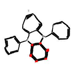 [Ti].c1ccc(P(c2ccccc2)c2ccccc2P(c2ccccc2)c2ccccc2)cc1